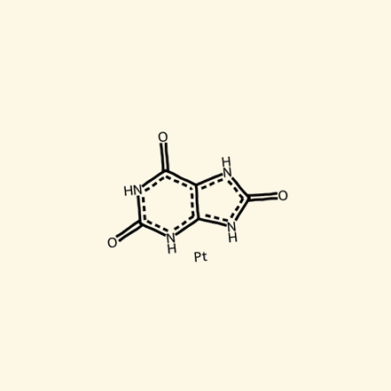 O=c1[nH]c(=O)c2[nH]c(=O)[nH]c2[nH]1.[Pt]